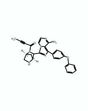 CC#CC(=O)N1C(c2nc(-c3ccc(Oc4ccccc4)cc3)c3c(N)nccn23)[C@@H]2C[C@H]1CN2